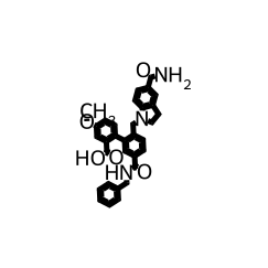 COc1ccc(-c2cc(C(=O)NCc3ccccc3)ccc2CN2CCc3cc(C(N)=O)ccc32)c(C(=O)O)c1